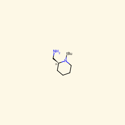 CC(C)(C)N1CCCC[C@H]1CN